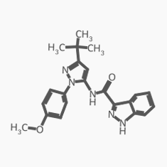 COc1ccc(-n2nc(C(C)(C)C)cc2NC(=O)c2n[nH]c3ccccc23)cc1